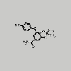 CC1(C)Cc2c(Oc3ccc(C#N)cc3)cc(C(N)=O)cc2O1